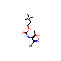 CCc1noc(C)c1NC(=O)OCC[Si](C)(C)C